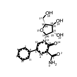 NC(=O)c1nc(-c2ccccc2)cn([C@@H]2O[C@H](CO)[C@@H](O)[C@@H]2O)c1=O